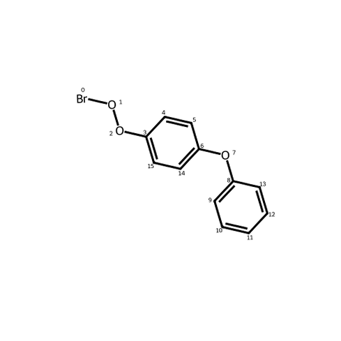 BrOOc1ccc(Oc2ccccc2)cc1